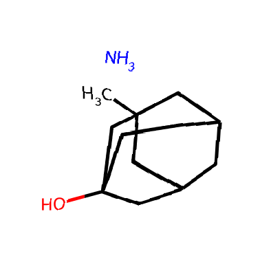 CC12CC3CC(C1)CC(O)(C3)C2.N